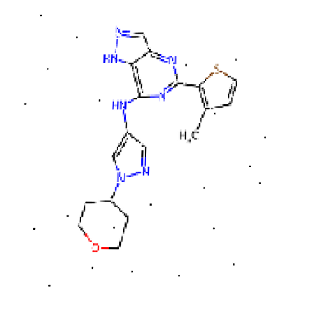 Cc1ccsc1-c1nc(Nc2cnn(C3CCOCC3)c2)c2[nH]ncc2n1